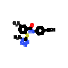 C#Cc1ccc(NC(=O)c2cc([N+](=O)[O-])ccc2Sc2nnnn2C)cc1